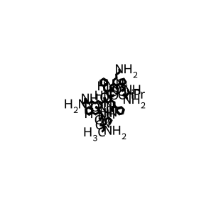 CC(N)C(=O)N1CCC[C@H]1C(=O)NC(Cc1ccccc1)C(=O)NC(CCCNC(=N)N)C(=O)NC(Cc1c[nH]c2ccccc12)C(=O)NC(Cc1ccccc1)C(=O)NC(CCCCN)C(=O)N1CCC[C@H]1C(=O)NC(C(N)=O)C(C)C